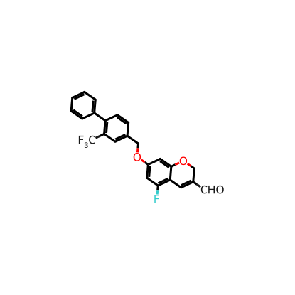 O=CC1=Cc2c(F)cc(OCc3ccc(-c4ccccc4)c(C(F)(F)F)c3)cc2OC1